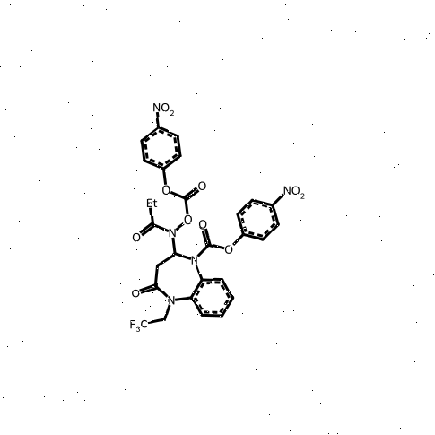 CCC(=O)N(OC(=O)Oc1ccc([N+](=O)[O-])cc1)C1CC(=O)N(CC(F)(F)F)c2ccccc2N1C(=O)Oc1ccc([N+](=O)[O-])cc1